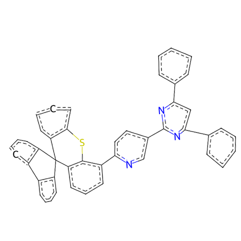 c1ccc(-c2cc(-c3ccccc3)nc(-c3ccc(-c4cccc5c4Sc4ccccc4C54c5ccccc5-c5ccccc54)nc3)n2)cc1